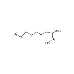 [CH2]CCCC(CCCCCOCCC)OCC